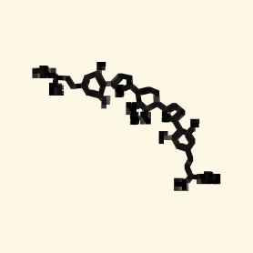 CCCCC(CC)CCc1cc(F)c(-c2ccc(-c3ccc(-c4ccc(-c5c(F)cc(CCC(CC)CCCC)cc5F)s4)c4nsnc34)s2)c(F)c1